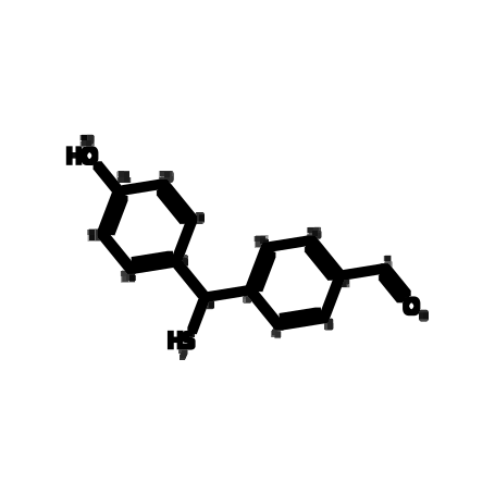 O=Cc1ccc(C(S)c2ccc(O)cc2)cc1